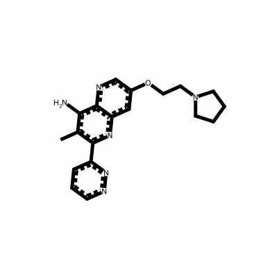 Cc1c(-c2cccnn2)nc2cc(OCCN3CCCC3)cnc2c1N